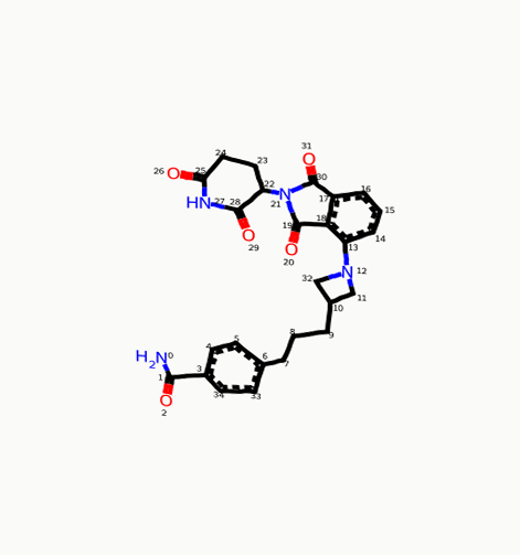 NC(=O)c1ccc(CCCC2CN(c3cccc4c3C(=O)N(C3CCC(=O)NC3=O)C4=O)C2)cc1